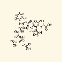 NC(=O)[C@H](CCC(=O)O)NC(=O)[C@H](Cc1c[nH]cn1)NC(=O)[C@H](Cc1cccc(F)c1)NC(=O)CNC(=O)[C@H](CCC(=O)O)NC(=O)CCC(=O)O